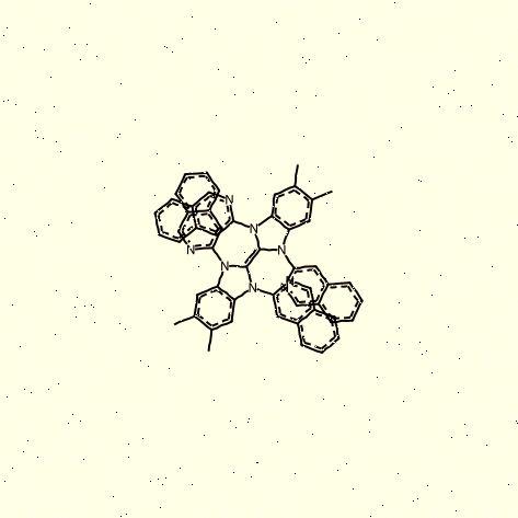 Cc1cc2c(cc1C)N(c1cc3ccccc3cn1)C(=C1N(c3cc4ccccc4cn3)c3cc(C)c(C)cc3N1c1cc3ccccc3cn1)N2c1cc2ccccc2cn1